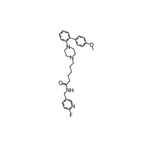 COc1ccc(-c2ccccc2N2CCN(CCCCCC(=O)NCc3ccc(F)nc3)CC2)cc1